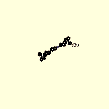 CC(C)(C)c1ccc(N2c3ccccc3C(C)(C)c3cc4c(cc32)C(C)(C)c2cc(/C=C/c3ccc5cc(-c6ccc7c(c6)C(C)(C)c6cc8c(cc6-7)C(C)(C)c6ccccc6N8c6ccccc6)ccc5c3)ccc2-4)cc1